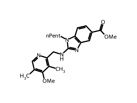 CCCCCn1c(NCc2ncc(C)c(OC)c2C)nc2cc(C(=O)OC)ccc21